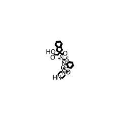 CN(C(=O)C1(CC(=O)O)Cc2ccccc2C1)c1nc2c(S(=O)(=O)N3CCNCC3)cccc2s1